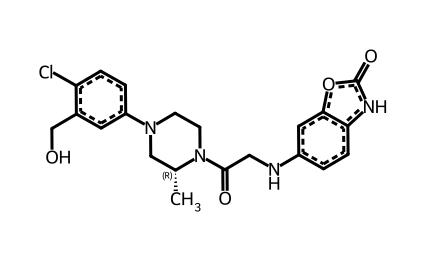 C[C@@H]1CN(c2ccc(Cl)c(CO)c2)CCN1C(=O)CNc1ccc2[nH]c(=O)oc2c1